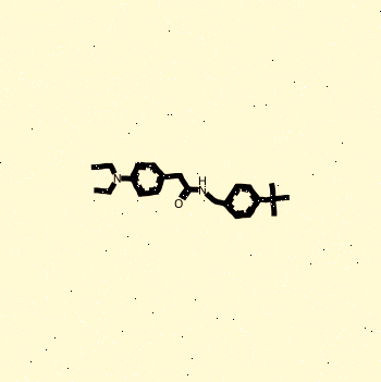 CCN(CC)c1ccc(CC(=O)NCc2ccc(C(C)(C)C)cc2)cc1